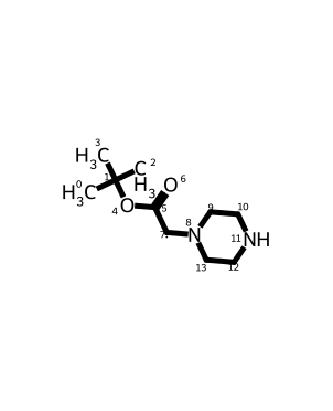 CC(C)(C)OC(=O)[CH]N1CCNCC1